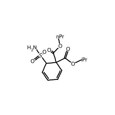 CCCOC(=O)C1(C(=O)OC(C)C)C=CC=CC1S(N)(=O)=O